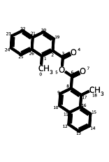 Cc1c(C(=O)OC(=O)c2ccc3ccccc3c2C)ccc2ccccc12